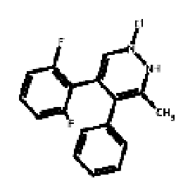 CC1=C(c2ccccc2)C(c2c(F)cccc2F)=CN(Cl)N1